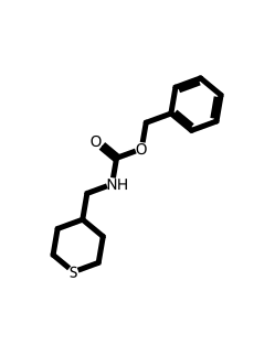 O=C(NCC1CCSCC1)OCc1ccccc1